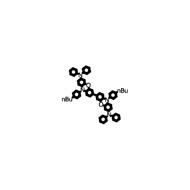 CCCCc1ccc(N2c3ccc(-c4ccc5c(c4)Oc4cc(N(c6ccccc6)c6ccccc6)ccc4N5c4ccc(CCCC)cc4)cc3Oc3cc(N(c4ccccc4)c4ccccc4)ccc32)cc1